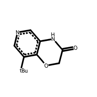 CC(C)(C)c1cncc2c1OCC(=O)N2